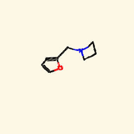 c1coc(CN2CCC2)c1